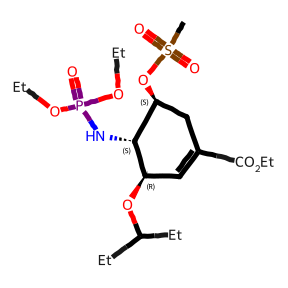 CCOC(=O)C1=C[C@@H](OC(CC)CC)[C@H](NP(=O)(OCC)OCC)[C@@H](OS(C)(=O)=O)C1